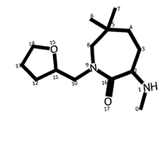 CNC1CCC(C)(C)CN(CC2CCCO2)C1=O